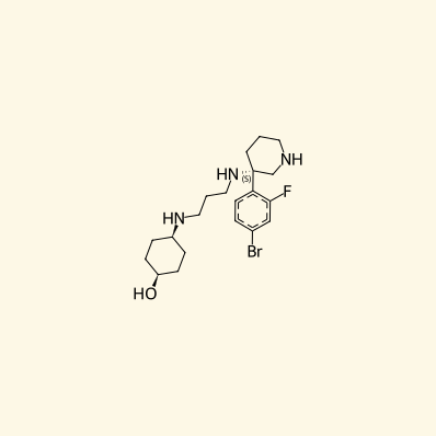 O[C@H]1CC[C@@H](NCCCN[C@]2(c3ccc(Br)cc3F)CCCNC2)CC1